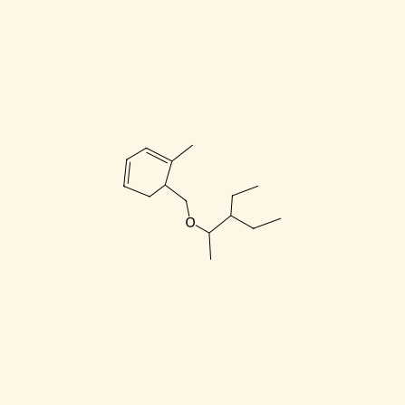 CCC(CC)C(C)OCC1CC=CC=C1C